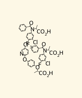 CC(C(=O)O)N(C(=O)c1ccccc1)c1ccc(F)c(Cl)c1.CC(Oc1ccc(Oc2ccc(C(F)(F)F)cn2)cc1)C(=O)O.C[C@@H](C(=O)O)N(C(=O)c1ccccc1)c1ccc(F)c(Cl)c1